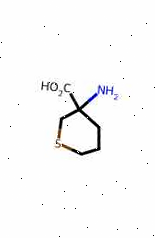 NC1(C(=O)O)CCCSC1